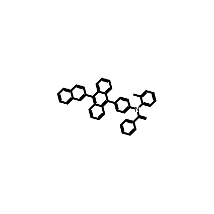 C=C(c1ccccc1)N(c1ccc(-c2c3ccccc3c(-c3ccc4ccccc4c3)c3ccccc23)cc1)c1ccccc1C